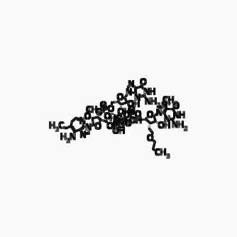 CCCOCC[C@H]1[C@@H](O)[C@H](n2c[n+](C)c3c(=O)[nH]c(N)nc32)O[C@@H]1COP(=O)(O)OP(=O)(O)OP(=O)(O)OC[C@H]1O[C@@H](n2cnc3c2N=CCC(CC)=C3N)[C@H](OC)[C@@H]1OP(=O)([O-])OC[C@H]1O[C@@H](n2cnc3c(=O)[nH]c(N)nc32)[C@H](O)[C@@H]1O